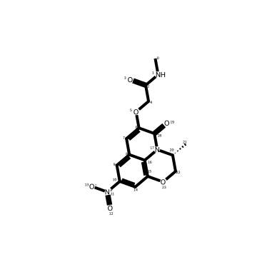 CNC(=O)COc1cc2cc([N+](=O)[O-])cc3c2n(c1=O)[C@H](C)CO3